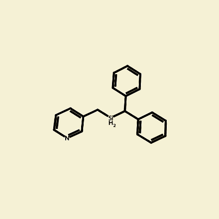 c1ccc(C([SiH2]Cc2cccnc2)c2ccccc2)cc1